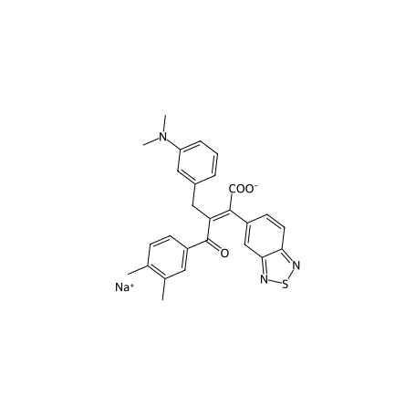 Cc1ccc(C(=O)C(Cc2cccc(N(C)C)c2)=C(C(=O)[O-])c2ccc3nsnc3c2)cc1C.[Na+]